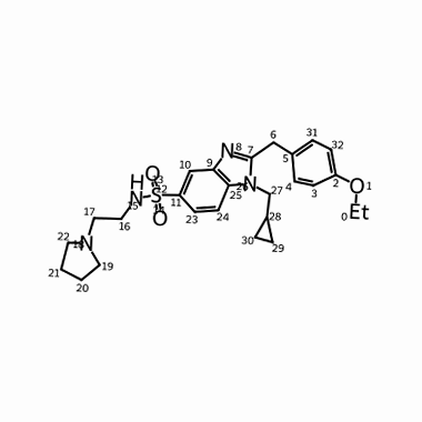 CCOc1ccc(Cc2nc3cc(S(=O)(=O)NCCN4CCCC4)ccc3n2CC2CC2)cc1